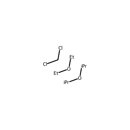 CC(C)OC(C)C.CCOCC.ClCCl